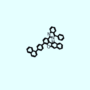 c1ccc(C2=c3ccccc3=NC(c3ccc(-c4ccc(-c5cccc6ccccc56)cc4)c4oc5cc6ccccc6cc5c34)N2)cc1